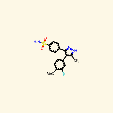 COc1ccc(-c2c(-c3ccc(S(N)(=O)=O)cc3)n[nH]c2C(F)(F)F)cc1F